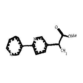 COC(=O)C(C)c1ccc(-c2cccnc2)nc1